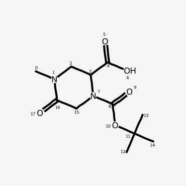 CN1CC(C(=O)O)N(C(=O)OC(C)(C)C)CC1=O